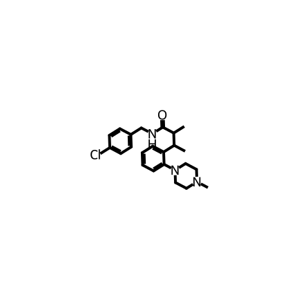 CC(C(=O)NCc1ccc(Cl)cc1)C(C)c1ccccc1N1CCN(C)CC1